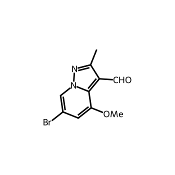 COc1cc(Br)cn2nc(C)c(C=O)c12